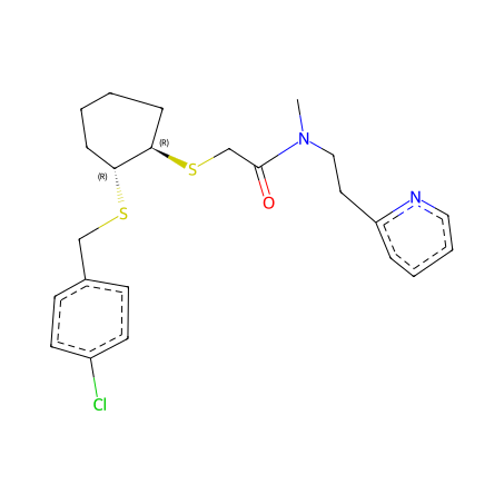 CN(CCc1ccccn1)C(=O)CS[C@@H]1CCCC[C@H]1SCc1ccc(Cl)cc1